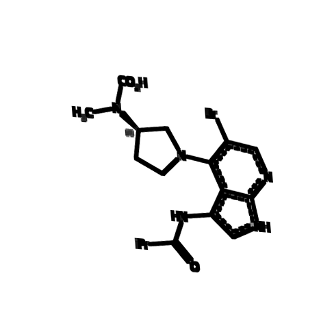 CC(C)C(=O)Nc1c[nH]c2ncc(Br)c(N3CC[C@@H](N(C)C(=O)O)C3)c12